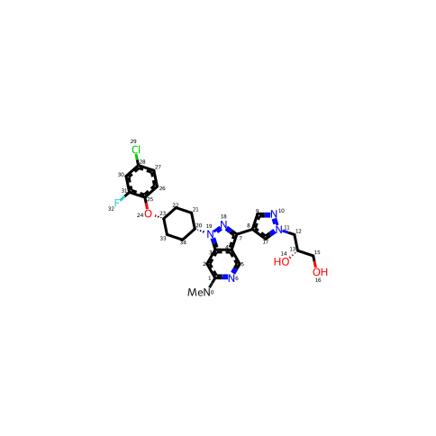 CNc1cc2c(cn1)c(-c1cnn(C[C@@H](O)CO)c1)nn2[C@H]1CC[C@@H](Oc2ccc(Cl)cc2F)CC1